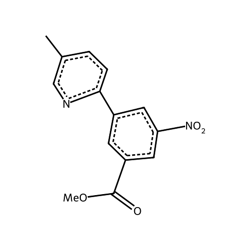 COC(=O)c1cc(-c2ccc(C)cn2)cc([N+](=O)[O-])c1